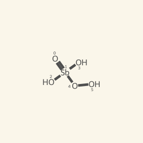 [O]=[Sb]([OH])([OH])[O]O